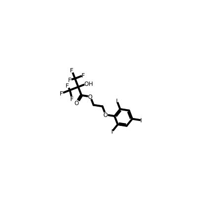 O=C(OCCOc1c(I)cc(I)cc1I)C(O)(C(F)(F)F)C(F)(F)F